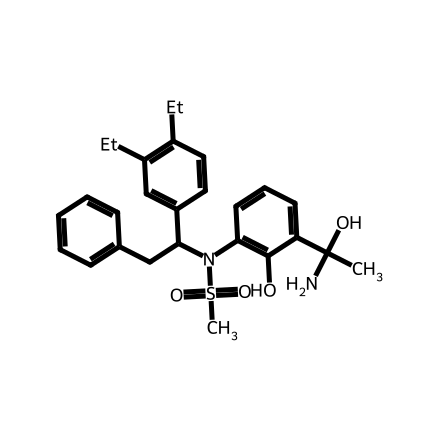 CCc1ccc(C(Cc2ccccc2)N(c2cccc(C(C)(N)O)c2O)S(C)(=O)=O)cc1CC